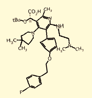 Cc1nc(NCCN(C)C)c(-c2ccc(OCCc3ccc(F)cc3)cc2)c(N2CCC(C)(C)CC2)c1[C@H](OC(C)(C)C)C(=O)O